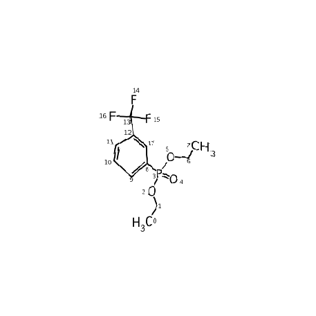 CCOP(=O)(OCC)c1cccc(C(F)(F)F)c1